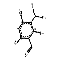 O=Cc1c(Br)cc(Cl)c(C(F)F)c1F